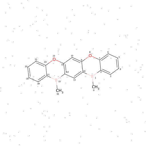 CB1c2ccccc2Oc2cc3c(cc21)B(C)c1ccccc1O3